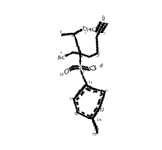 C#CCC(C(C)=O)(C(C)C=O)S(=O)(=O)c1ccc(C)cc1